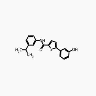 CC(C)c1cccc(NC(=O)c2ccc(-c3cccc(O)c3)s2)c1